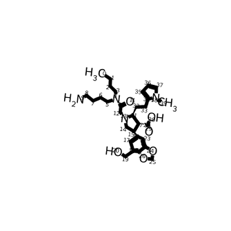 CCCCN(CCCCN)C(=O)CN1C[C@H](c2cc(CO)c3c(c2)OCO3)[C@@H](C(=O)O)[C@@H]1CCc1cccn1C